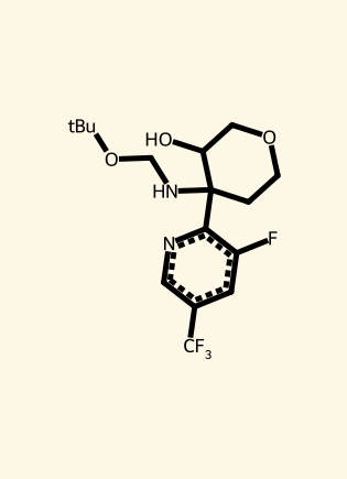 CC(C)(C)OCNC1(c2ncc(C(F)(F)F)cc2F)CCOCC1O